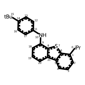 CC(C)c1cccc2c1sc1c(Nc3ccc(C(C)(C)C)cc3)cccc12